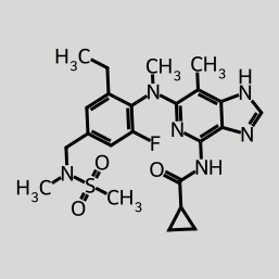 CCc1cc(CN(C)S(C)(=O)=O)cc(F)c1N(C)c1nc(NC(=O)C2CC2)c2nc[nH]c2c1C